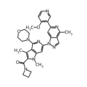 COc1ccncc1-c1cc2c(cnn2-c2cc3c(c(N4CCOCC4)n2)c(C)c(C(=O)N2CCC2)n3C)c(C)n1